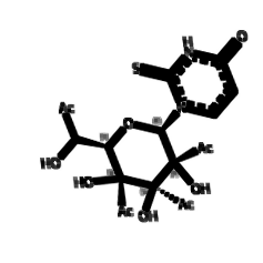 CC(=O)C(O)[C@H]1O[C@@H](n2ccc(=O)[nH]c2=S)[C@@](O)(C(C)=O)[C@](O)(C(C)=O)[C@@]1(O)C(C)=O